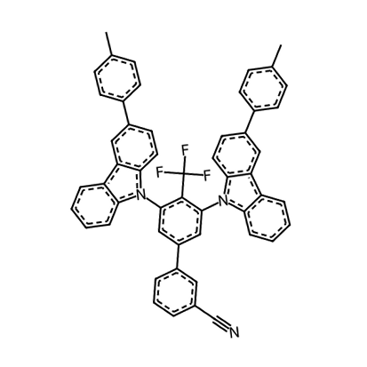 Cc1ccc(-c2ccc3c(c2)c2ccccc2n3-c2cc(-c3cccc(C#N)c3)cc(-n3c4ccccc4c4cc(-c5ccc(C)cc5)ccc43)c2C(F)(F)F)cc1